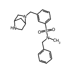 CN(Cc1ccccc1)S(=O)(=O)c1cccc(CN2CC3CC2CN3)c1